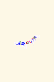 Cc1cc(Nc2nccn3c(-c4cn(CC#N)nc4C(F)(F)F)cnc23)cc(F)c1C(=O)N[C@H](C)CNC(=O)[C@@H]1[C@@H]2CNC[C@@H]21